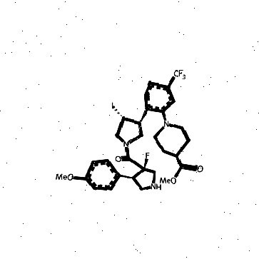 COC(=O)C1CCN(c2cc(C(F)(F)F)ccc2[C@H]2CN(C(=O)[C@]3(F)CNC[C@H]3c3ccc(OC)cc3)C[C@@H]2I)CC1